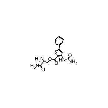 NC(=O)Nc1cc(-c2ccccc2)sc1C(=O)OC[C@@H](N)C(N)=O